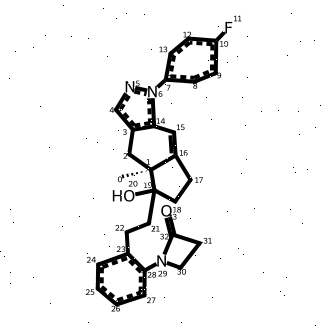 C[C@]12Cc3cnn(-c4ccc(F)cc4)c3C=C1CCC2(O)CCc1ccccc1N1CCC1=O